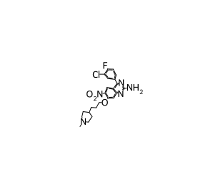 CN1CCC(CCCOc2cc3nc(N)nc(-c4ccc(F)c(Cl)c4)c3cc2[N+](=O)[O-])CC1